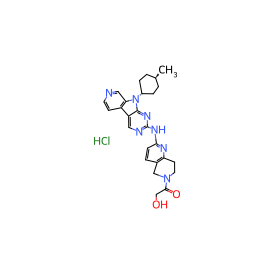 C[C@H]1CC[C@H](n2c3cnccc3c3cnc(Nc4ccc5c(n4)CCN(C(=O)CO)C5)nc32)CC1.Cl